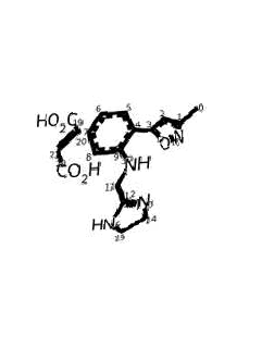 Cc1cc(-c2ccccc2NCC2=NCCN2)on1.O=C(O)C=CC(=O)O